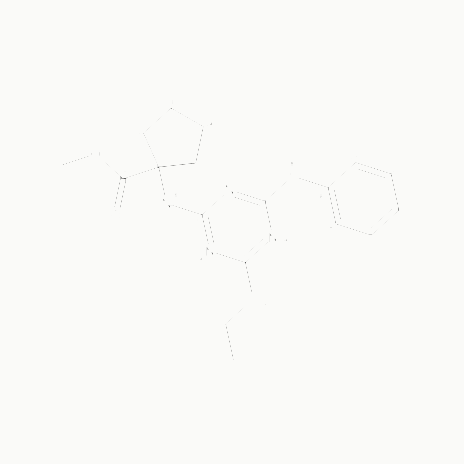 CCSc1nc(NC2(C(=O)OC)CCCC2)nc(Sc2ccccc2)n1